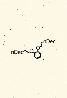 CCCCCCCCCCCCOc1ccccc1OCCCCCCCCCCCC